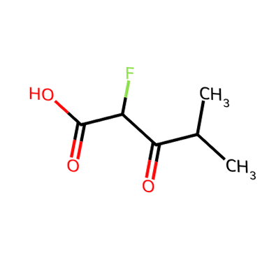 CC(C)C(=O)C(F)C(=O)O